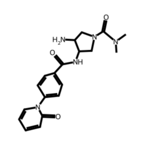 CN(C)C(=O)N1CC(N)C(NC(=O)c2ccc(-n3ccccc3=O)cc2)C1